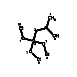 CCO[Si](CC(C)O)(OCC)OCC